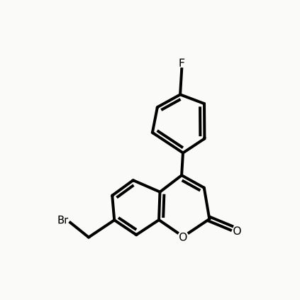 O=c1cc(-c2ccc(F)cc2)c2ccc(CBr)cc2o1